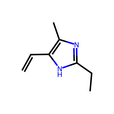 C=Cc1[nH]c(CC)nc1C